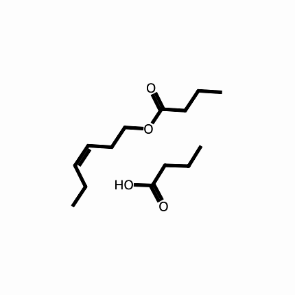 CC/C=C\CCOC(=O)CCC.CCCC(=O)O